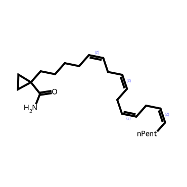 CCCCC/C=C\C/C=C\C/C=C\C/C=C\CCCCC1(C(N)=O)CC1